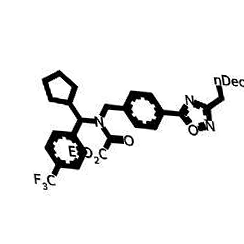 CCCCCCCCCCCc1noc(-c2ccc(CN(C(=O)C(=O)OCC)C(c3ccc(C(F)(F)F)cc3)C3CCCC3)cc2)n1